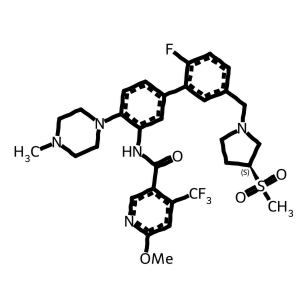 COc1cc(C(F)(F)F)c(C(=O)Nc2cc(-c3cc(CN4CC[C@H](S(C)(=O)=O)C4)ccc3F)ccc2N2CCN(C)CC2)cn1